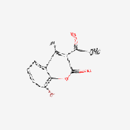 COC(=O)c1c(C(C)C)c2cccc(Br)c2oc1=O